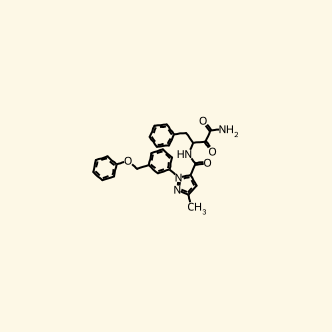 Cc1cc(C(=O)NC(Cc2ccccc2)C(=O)C(N)=O)n(-c2cccc(COc3ccccc3)c2)n1